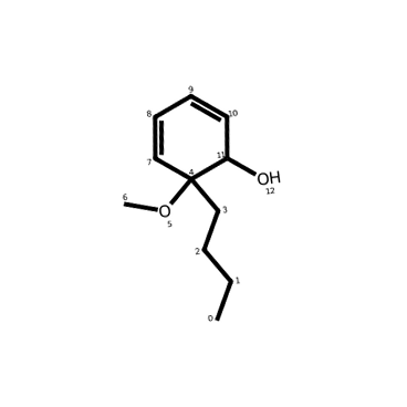 CCCCC1(OC)C=CC=CC1O